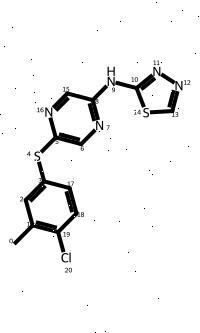 Cc1cc(Sc2cnc(Nc3nncs3)cn2)ccc1Cl